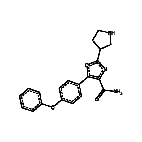 NC(=O)c1nc(C2CCNC2)oc1-c1ccc(Oc2ccccc2)cc1